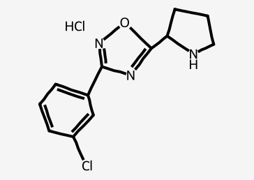 Cl.Clc1cccc(-c2noc(C3CCCN3)n2)c1